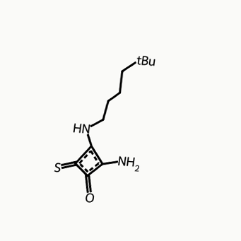 CC(C)(C)CCCCNc1c(N)c(=O)c1=S